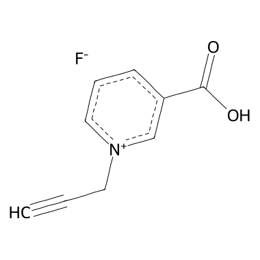 C#CC[n+]1cccc(C(=O)O)c1.[F-]